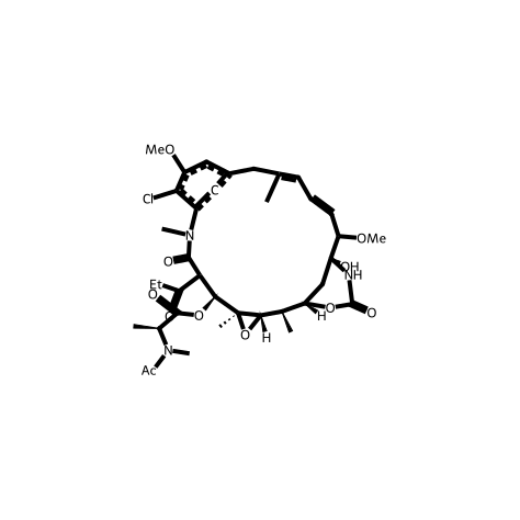 CCC(=O)C1C(=O)N(C)c2cc(cc(OC)c2Cl)C/C(C)=C/C=C/C(OC)[C@@]2(O)C[C@H](OC(=O)N2)[C@@H](C)[C@@H]2O[C@@]2(C)[C@H]1OC(=O)[C@H](C)N(C)C(C)=O